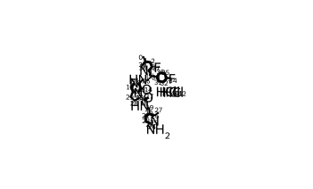 Cc1ccc([C@H](CNc2ncc3n(c2=O)[C@H](C(=O)NCc2ccc(N)nc2C)CC3)c2ccc(F)cc2F)nc1.Cl.Cl.Cl